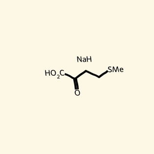 CSCCC(=O)C(=O)O.[NaH]